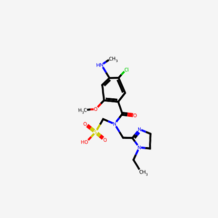 CCN1CCN=C1CN(CS(=O)(=O)O)C(=O)c1cc(Cl)c(NC)cc1OC